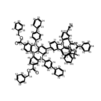 CC(C)(C)c1ccc2c3cc(-c4cc5c6c(c4)N(c4ccc(-c7ccccc7)cc4)c4cc(C(=O)OCc7ccccc7)ccc4B6c4ccc(C(=O)OCc6ccccc6)cc4N5c4ccc(-c5ccccc5)cc4)ccc3n(-c3ccc(C#N)cc3-c3nc(-c4ccccc4)nc(-c4ccccc4)n3)c2c1